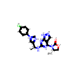 CC(C)[C@H]1COC(=O)N1c1nc(N[C@@H](C)c2cn(-c3ccc(Cl)cc3)cn2)nc2[nH]ncc12